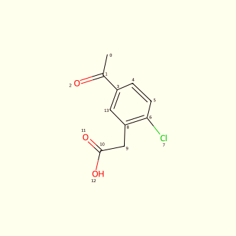 CC(=O)c1ccc(Cl)c(CC(=O)O)c1